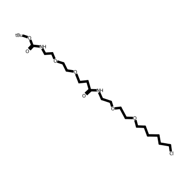 CC(C)(C)OC(=O)NCCOCCOCCC(=O)NCCOCCOCCCCCCCl